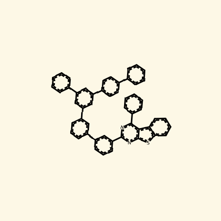 c1ccc(-c2ccc(-c3cc(-c4ccccc4)cc(-c4cccc(-c5cccc(-c6nc(-c7ccccc7)c7c(n6)sc6ccccc67)c5)c4)c3)cc2)cc1